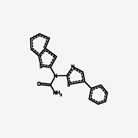 NC(=O)N(c1cc2ccccc2s1)c1ncc(-c2ccccc2)s1